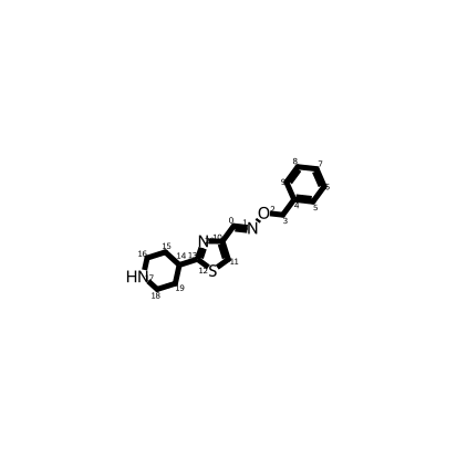 C(=NOCc1ccccc1)c1csc(C2CCNCC2)n1